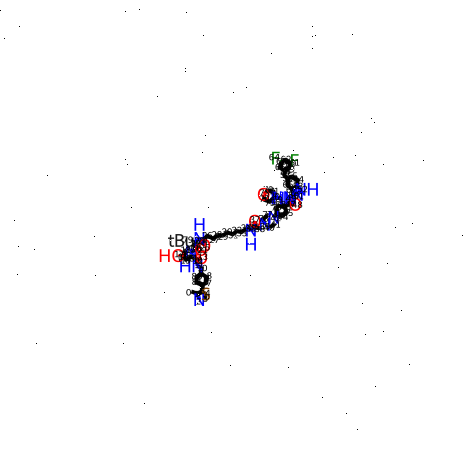 Cc1ncsc1-c1ccc(CNC(=O)[C@@H]2C[C@@H](O)CN2C(=O)C(NC(=O)CCCCCCCCCNC(=O)CN2CCN(c3ccc(C(=O)Nc4n[nH]c5ccc(Cc6cc(F)cc(F)c6)cc45)c(NC4CCOCC4)c3)CC2)C(C)(C)C)cc1